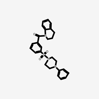 O=C(c1cccc(S(=O)(=O)N2CCN(c3ccccc3)CC2)c1)N1CCCc2ccccc21